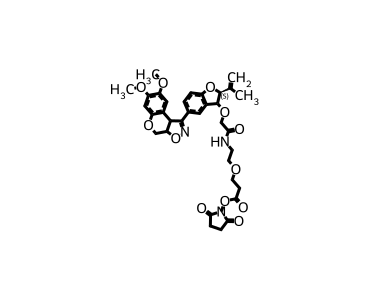 C=C(C)[C@@H]1Oc2ccc(C3=NOC4COc5cc(OC)c(OC)cc5C34)cc2C1OCC(=O)NCCOCCC(=O)ON1C(=O)CCC1=O